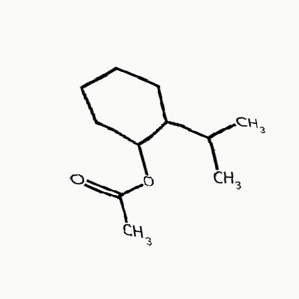 CC(=O)OC1CCCCC1C(C)C